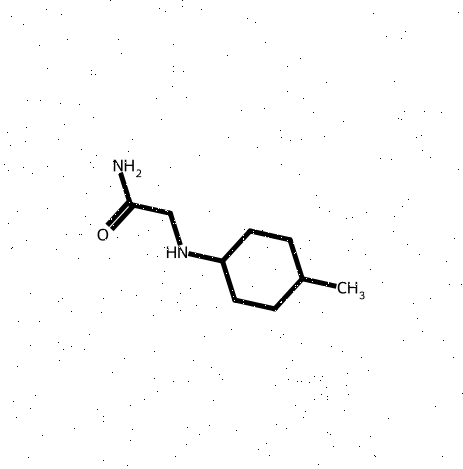 CC1CCC(NCC(N)=O)CC1